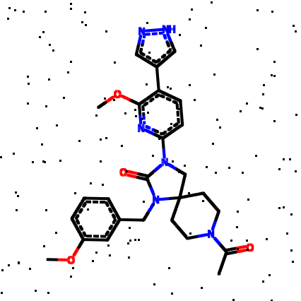 COc1cccc(CN2C(=O)N(c3ccc(-c4cn[nH]c4)c(OC)n3)CC23CCN(C(C)=O)CC3)c1